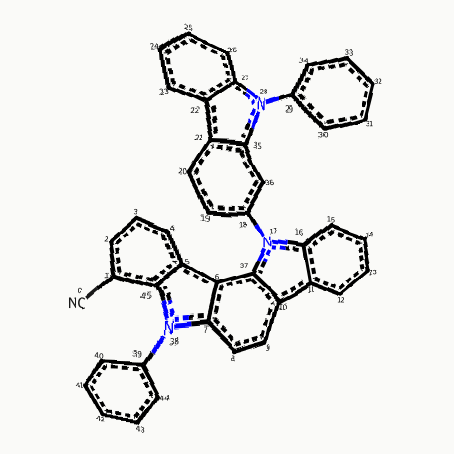 N#Cc1cccc2c3c(ccc4c5ccccc5n(-c5ccc6c7ccccc7n(-c7ccccc7)c6c5)c43)n(-c3ccccc3)c12